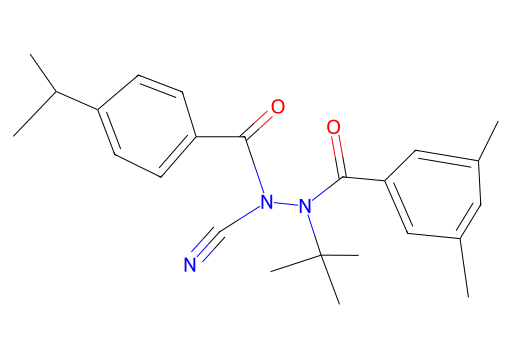 Cc1cc(C)cc(C(=O)N(N(C#N)C(=O)c2ccc(C(C)C)cc2)C(C)(C)C)c1